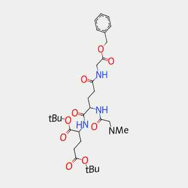 CNCC(=O)NC(CCC(=O)NCC(=O)OCc1ccccc1)C(=O)NC(CCC(=O)OC(C)(C)C)C(=O)OC(C)(C)C